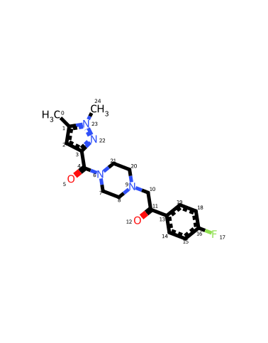 Cc1cc(C(=O)N2CCN(CC(=O)c3ccc(F)cc3)CC2)nn1C